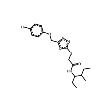 CCC(C)C(CC)NC(=O)CSc1nnc(COc2ccc(Cl)cc2)o1